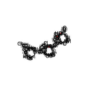 C[C@@H]1[C@@H](C)CCC[C@](O)(CCN2CCOC(C3CCc4cc(Cl)ccc4[C@@]34COc3ccc5cc3N(C[C@@H]3CC[C@H]3[C@](O)(CCN3CCOC(C6CCc7cc(Cl)ccc7[C@@]67COc6ccc8cc6N(C[C@@H]6CC[C@H]6[C@@](O)(CCN6CCOCC6)CCC[C@H](C)[C@@H](C)S(=O)(=O)NC8=O)C7)C3)CCC[C@H](C)[C@@H](C)S(=O)(=O)NC5=O)C4)C2)[C@@H]2CC[C@H]2CN2C[C@@]3(CCCc4cc(Cl)ccc43)COc3ccc(cc32)C(=O)NS1(=O)=O